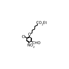 CCOC(=O)CCCCCOc1cc(C=O)c([N+](=O)[O-])cc1Cl